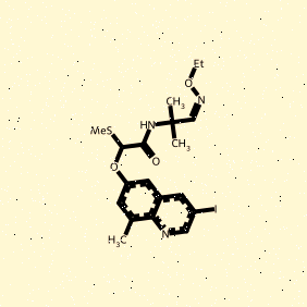 CCO/N=C\C(C)(C)NC(=O)C(Oc1cc(C)c2ncc(I)cc2c1)SC